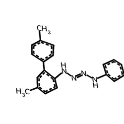 Cc1ccc(-c2cc(C)ccc2NN=NNc2ccccc2)cc1